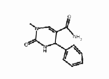 CN1C=C(C(N)=O)C(c2ccccc2)NC1=O